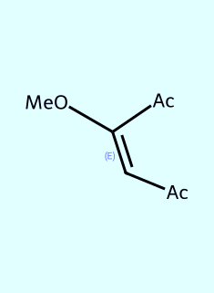 CO/C(=C/C(C)=O)C(C)=O